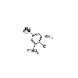 O=[N+]([O-])c1cc([N+](=O)[O-])c([O-])c([N+](=O)[O-])c1.[K+].[KH]